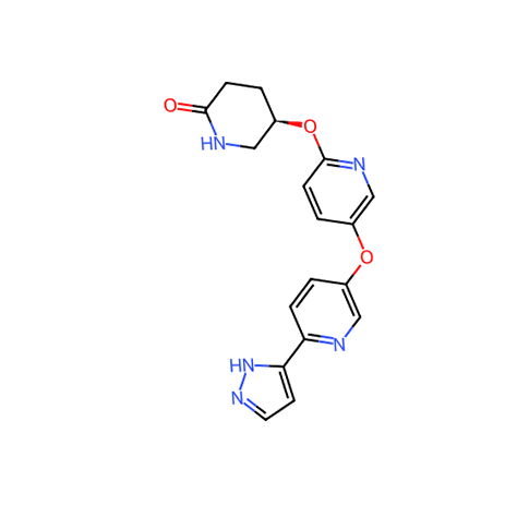 O=C1CC[C@@H](Oc2ccc(Oc3ccc(-c4ccn[nH]4)nc3)cn2)CN1